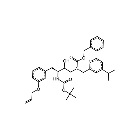 C=CCOc1cccc(C[C@H](NC(=O)OC(C)(C)C)[C@@H](O)CN(Cc2cc(C(C)C)ccn2)C(=O)OCc2ccccc2)c1